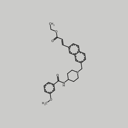 CCOC(=O)C=Cc1ccc2ccc(CN3CCC(NC(=O)c4cccc(OC)c4)CC3)cc2c1